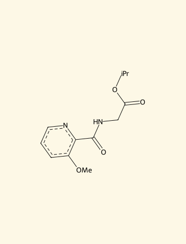 COc1cccnc1C(=O)NCC(=O)OC(C)C